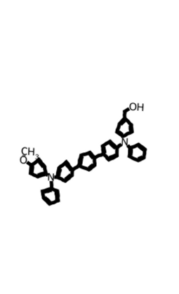 COc1ccc(N(c2ccccc2)c2ccc(-c3ccc(-c4ccc(N(c5ccccc5)c5ccc(CO)cc5)cc4)cc3)cc2)cc1